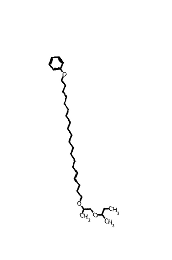 CCC(C)OCC(C)OCCCCCCCCCCCCCCCCCCCCOc1ccccc1